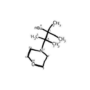 CCCCC(C)(C)C(C)(C)N1CCOCC1